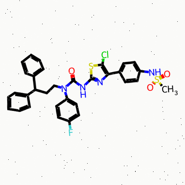 CS(=O)(=O)Nc1ccc(-c2nc(NC(=O)N(CCC(c3ccccc3)c3ccccc3)c3ccc(F)cc3)sc2Cl)cc1